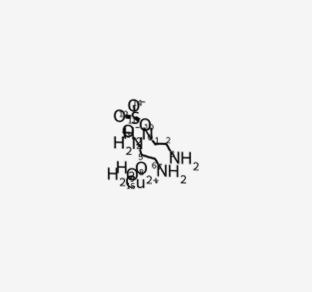 NCCN.NCCN.O.O.O=S(=O)([O-])[O-].[Cu+2]